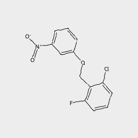 O=[N+]([O-])c1cccc(OCc2c(F)cccc2Cl)c1